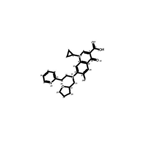 O=C(O)c1cn(C2CC2)c2cc(N(CCc3ccccn3)CC3CCCO3)c(F)cc2c1=O